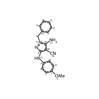 COc1ccc(Nc2nn(Cc3ccccc3)c(N)c2C#N)cc1